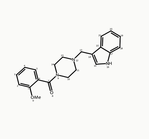 COc1ccccc1C(=O)N1CCN(Cc2c[nH]c3ccccc23)CC1